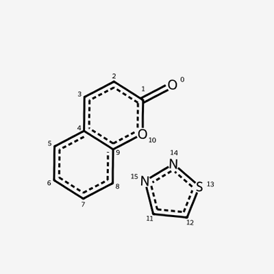 O=c1ccc2ccccc2o1.c1csnn1